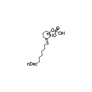 CCCCCCCCCCCCCCCCS[C@@H]1CCC[C@@H](OP(=O)(O)O)C1